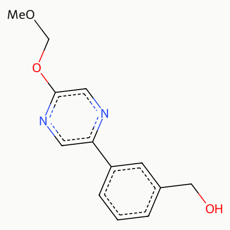 COCOc1cnc(-c2cccc(CO)c2)cn1